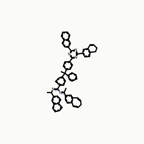 C/C(=N\C(=N/C(C)c1ccc2ccccc2c1)c1ccc(C(C)(c2ccccc2)c2ccc(-c3nc(-c4ccc5c(c4)C=CCC5)nc(-c4ccc5ccccc5c4)n3)cc2)cc1)c1ccc2c(c1)C=CCC=C2